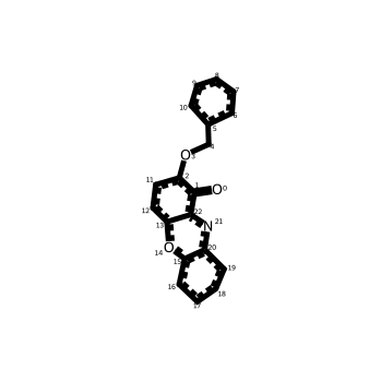 O=c1c(OCc2ccccc2)ccc2oc3ccccc3nc1-2